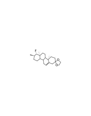 C[C@@H]1CCC2C3CC=C4CC5(CC[C@]4(C)C3CC[C@]2(C)[C@H]1F)OCCO5